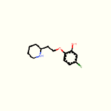 Oc1cc(Cl)ccc1OCCC1CCCCN1